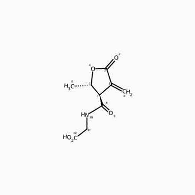 C=C1C(=O)O[C@@H](C)[C@@H]1C(=O)NCC(=O)O